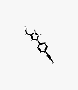 CC#Cc1ccc(-n2cc(CO)nn2)cc1